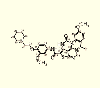 COc1ccc(CI)c(N2C(=O)Nc3c(C(=O)Nc4ccc(OCCN5CCCCC5)c(OC)c4)sc4ncnc2c34)c1